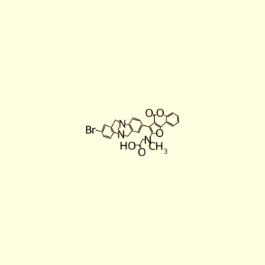 CN(CC(=O)O)c1oc2c(c1-c1ccc3c(c1)CN1CN3Cc3cc(Br)ccc31)c(=O)oc1ccccc12